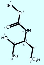 CC(C)(C)OC(=O)N[C@@H](CC(=O)O)C(O)C(C)(C)C